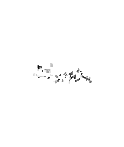 Nc1ccc(C(=O)Nc2ccn(C3OC(CO)C(O)[C@@H]3F)c(=O)n2)nc1